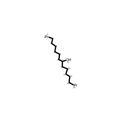 CC(C)CCCCCCC(O)CCCCCC(C)C